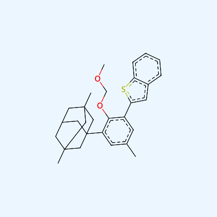 COCOc1c(-c2cc3ccccc3s2)cc(C)cc1C12CC3CC(C)(CC(C)(C3)C1)C2